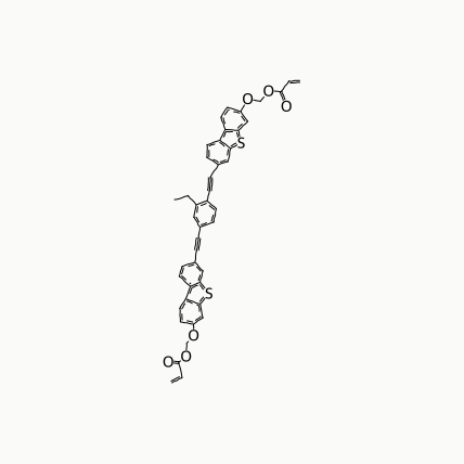 C=CC(=O)OCOc1ccc2c(c1)sc1cc(C#Cc3ccc(C#Cc4ccc5c(c4)sc4cc(OCOC(=O)C=C)ccc45)c(CC)c3)ccc12